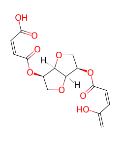 C=C(O)/C=C\C(=O)O[C@@H]1CO[C@H]2[C@@H]1OC[C@H]2OC(=O)/C=C\C(=O)O